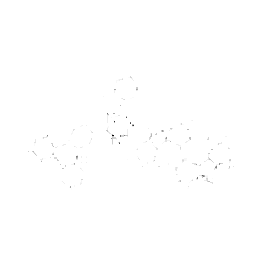 c1ccc(-c2nc(-c3ccc4c5ccccc5c5ccccc5c4c3)nc(-c3cccc4c3oc3cccc(-c5cccc6oc7ccccc7c56)c34)n2)cc1